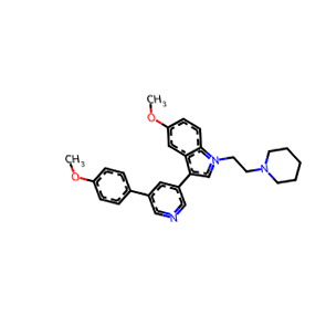 COc1ccc(-c2cncc(-c3cn(CCN4CCCCC4)c4ccc(OC)cc34)c2)cc1